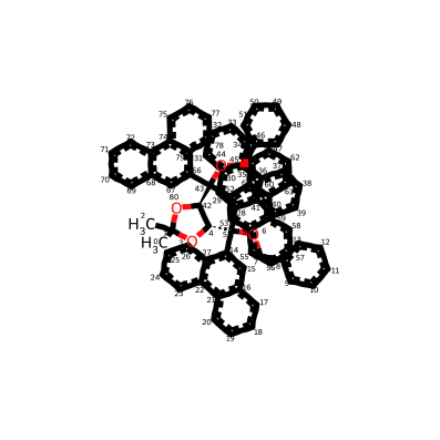 CC1(C)O[C@@H](C(OCc2ccccc2)(c2cc3ccccc3c3ccccc23)c2cc3ccccc3c3ccccc23)[C@H](C(OCc2ccccc2)(c2cc3ccccc3c3ccccc23)c2cc3ccccc3c3ccccc23)O1